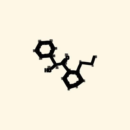 CCCc1ccccc1C(=O)C(O)c1ccccc1